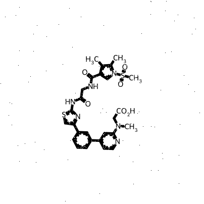 Cc1c(C(=O)NCC(=O)Nc2nc(-c3cccc(-c4ccnc(N(C)CC(=O)O)c4)c3)cs2)cn(S(C)(=O)=O)c1C